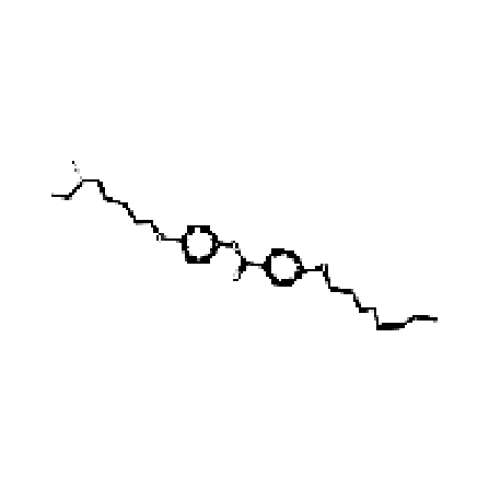 CC/C=C\CCCCOc1ccc(C(=O)Oc2ccc(OCCCCC[C@@H](C)CC)cc2)cc1